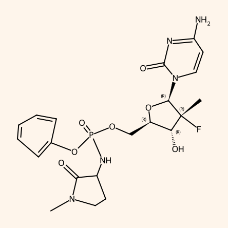 CN1CCC(NP(=O)(OC[C@H]2O[C@@H](n3ccc(N)nc3=O)[C@](C)(F)[C@@H]2O)Oc2ccccc2)C1=O